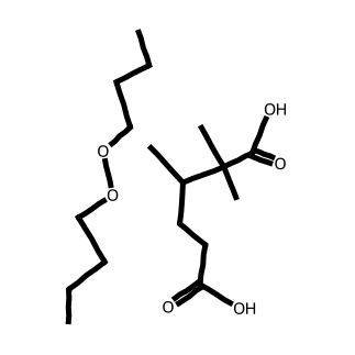 CC(CCC(=O)O)C(C)(C)C(=O)O.CCCCOOCCCC